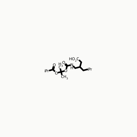 CC(C)CC(CNC(=O)OC(C)(C)OC(=O)C(C)C)CC(=O)O